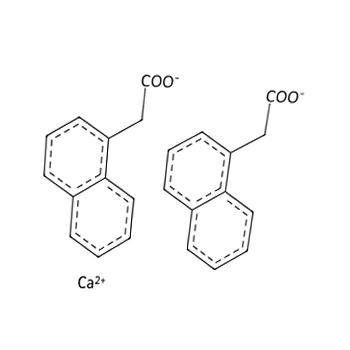 O=C([O-])Cc1cccc2ccccc12.O=C([O-])Cc1cccc2ccccc12.[Ca+2]